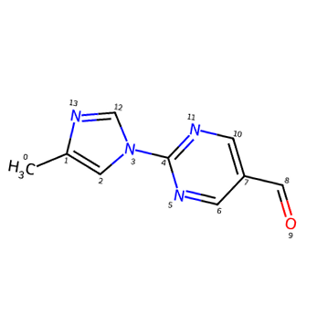 Cc1cn(-c2ncc(C=O)cn2)cn1